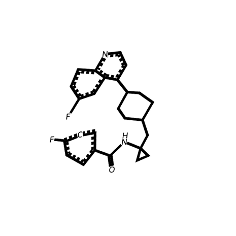 O=C(NC1(CC2CCC(c3ccnc4ccc(F)cc34)CC2)CC1)c1ccc(F)cc1